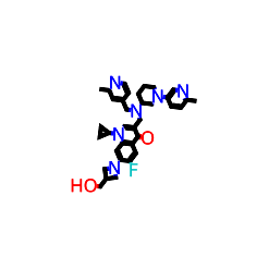 Cc1ccc(N2CCC[C@H](N(Cc3ccnc(C)c3)Cc3cn(C4CC4)c4cc(N5CC(CO)C5)c(F)cc4c3=O)C2)cn1